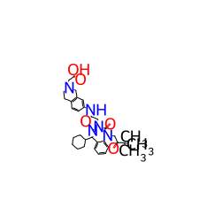 CC(C)(C)C(=O)CN1C(=O)N(CC(=O)Nc2ccc3c(c2)CN(CC(=O)O)CC3)N=C(C2CCCCC2)c2ccccc21